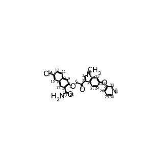 Cn1cc(C(=O)COc2cc3ccc(Cl)cc3cc2C(N)=O)c2ccc(Oc3cccnc3)cc21